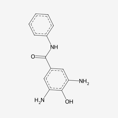 Nc1cc(C(=O)Nc2ccccc2)cc(N)c1O